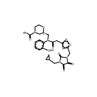 COc1ccccc1N(C[C@H]1CN(C(=O)C(C)(C)C)CCO1)C(=O)Cc1noc(CN2C(=O)C(=O)N(CC3CC3)C2=O)n1